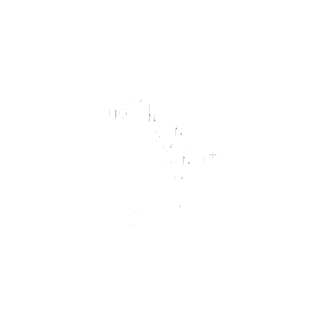 O=C(O)CNC(=O)[C@@H]1CCCN1C(=O)[C@@H]1C[C@@H](F)CN1C(=O)OCc1cccc2c1Cc1ccccc1-2